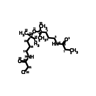 CCC(=O)NCCC[Si](C)(C)O[Si](C)(C)CCCNC(=O)CCl